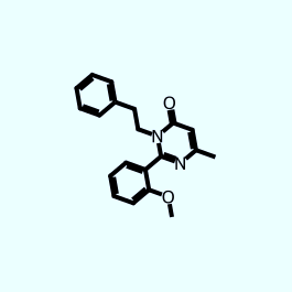 COc1ccccc1-c1nc(C)cc(=O)n1CCc1ccccc1